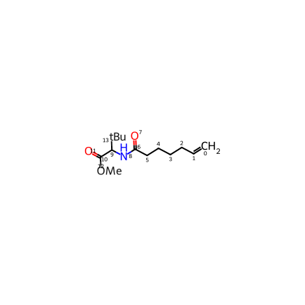 C=CCCCCC(=O)NC(C(=O)OC)C(C)(C)C